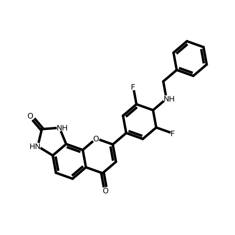 O=c1[nH]c2ccc3c(=O)cc(C4=CC(F)C(NCc5ccccc5)C(F)=C4)oc3c2[nH]1